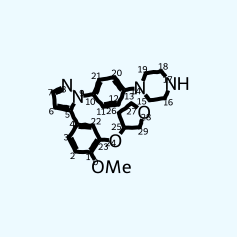 COc1ccc(-c2ccnn2-c2ccc(N3CCNCC3)cc2)cc1OC1CCOC1